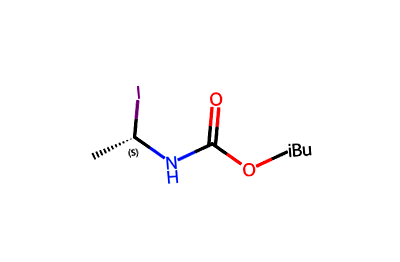 CCC(C)OC(=O)N[C@H](C)I